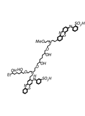 CCC(O)CCCC(O)COCCN(CCOCC(O)CCCC(O)COCCN(CCOC)CCc1ccc2sc3c/c(=N\c4ccccc4S(=O)(=O)O)ccc-3nc2c1)CCC1=CC2=Nc3ccccc3SC2=CC1Nc1cccc(S(=O)(=O)O)c1